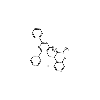 COC(=O)C(Cc1c(N)nc(-c2ccccc2)nc1-c1ccccc1)c1c(Cl)cccc1Cl